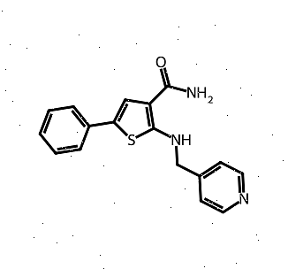 NC(=O)c1cc(-c2ccccc2)sc1NCc1ccncc1